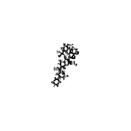 Cc1cc(-c2ccccc2)cc(Nc2ccc(C[C@H](N)C3CN(C4(c5cccc(C(C)(C)C)c5)CC4)C(=O)O3)cc2)n1